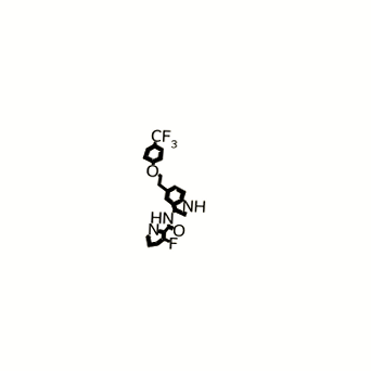 O=C(Nc1c[nH]c2ccc(CCOc3ccc(C(F)(F)F)cc3)cc12)c1ncccc1F